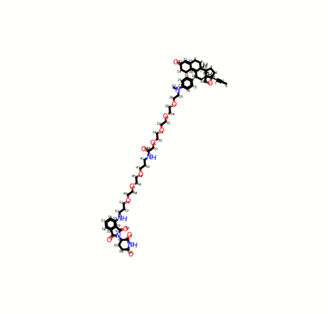 CC#C[C@]12CC[C@H]3[C@@H]4CCC5=CC(=O)CCC5=C4[C@@H](c4ccc(N(C)CCOCCOCCOCCOCC(=O)NCCCOCCOCCOCCCNc5cccc6c5C(=O)N(C5CCC(=O)NC5=O)C6=O)cc4)C[C@@]31CO2